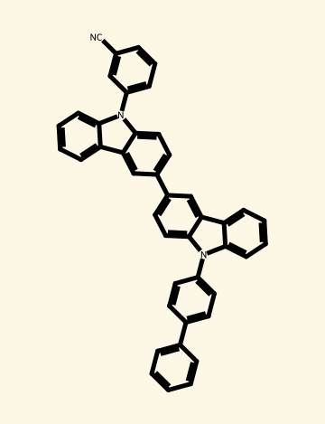 N#Cc1cccc(-n2c3ccccc3c3cc(-c4ccc5c(c4)c4ccccc4n5-c4ccc(-c5ccccc5)cc4)ccc32)c1